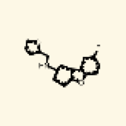 Fc1ccc2oc3ccc(NCc4ccco4)cc3c2c1